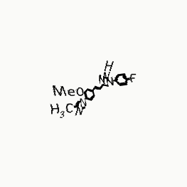 COc1cc(/C=C/C2=NNN(c3ccc(F)cc3)C2)ccc1-n1cnc(C)c1